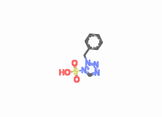 O=S(=O)(O)[n+]1cnnn1Cc1ccccc1